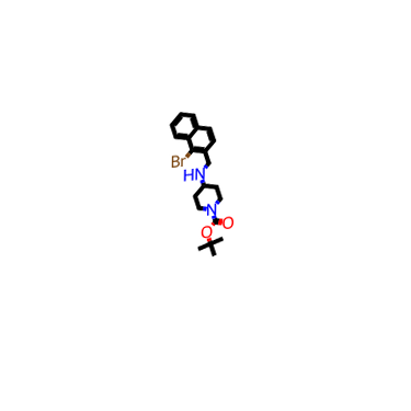 CC(C)(C)OC(=O)N1CCC(NCc2ccc3ccccc3c2Br)CC1